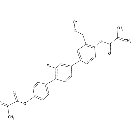 C=C(C)C(=O)Oc1ccc(-c2ccc(-c3ccc(OC(=O)C(=C)C)c(COCC)c3)cc2F)cc1